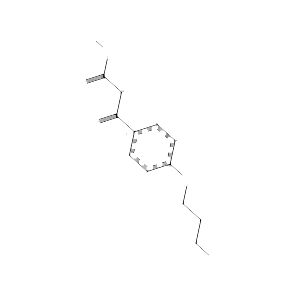 CCCCOc1ccc(C(=O)CC(=O)OC)cc1